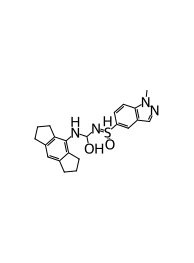 Cn1ncc2cc(/[SH](=O)=N/C(O)Nc3c4c(cc5c3CCC5)CCC4)ccc21